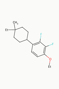 CCOc1ccc(C2CCC(C)(CC)CC2)c(F)c1F